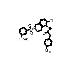 COc1cccc(S(=O)(=O)N2CCc3c(ccc(Cl)c3NC(=O)Cc3ccc(C(F)(F)F)cc3)C2)c1